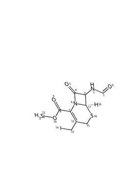 O=CNC1C(=O)N2C(C(=O)O[SiH3])=C(CI)CS[C@H]12